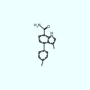 Cc1c[nH]c2c(C(N)=O)ccc(-c3ccc(F)cc3)c12